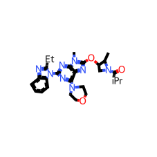 CCc1nc2ccccc2n1-c1nc(N2CCOCC2)c2nc(OC3CN(C(=O)C(C)C)C3C)n(C)c2n1